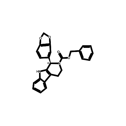 O=C(OCc1ccccc1)N1CCc2c([nH]c3ccccc23)[C@H]1c1ccc2c(c1)OCO2